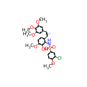 COc1ccc(S(=O)(=O)Nc2c(/C=C\c3cc(OC)c(OC)c(OC)c3)ccc(OC)c2O)cc1Cl